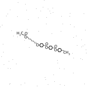 C=CC(=O)OCCCCCCCOc1ccc(C(=O)Oc2ccc(C(=O)Oc3ccc(CC)cc3)cc2)cc1